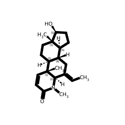 CC=C1C[C@@H]2[C@H](CC[C@]3(C)[C@@H](O)CC[C@@H]23)[C@@]2(C)C=CC(=O)N(C)[C@H]12